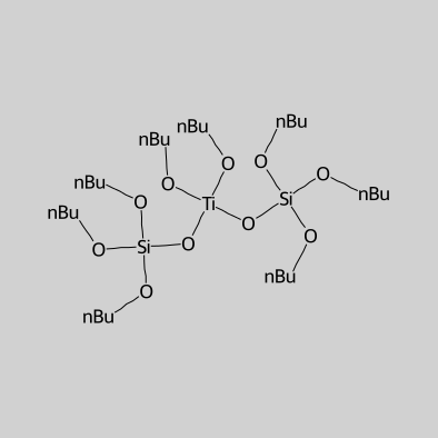 CCCCO[Si](OCCCC)(OCCCC)[O][Ti]([O]CCCC)([O]CCCC)[O][Si](OCCCC)(OCCCC)OCCCC